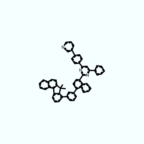 CC1(C)c2ccc3ccccc3c2-c2cccc(-c3cccc(-c4ccc(-c5nc(-c6ccccc6)cc(-c6ccc(-c7cccnc7)cc6)n5)c5ccccc45)c3)c21